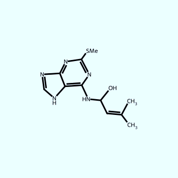 CSc1nc(NC(O)C=C(C)C)c2[nH]cnc2n1